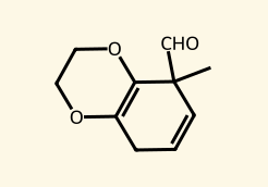 CC1(C=O)C=CCC2=C1OCCO2